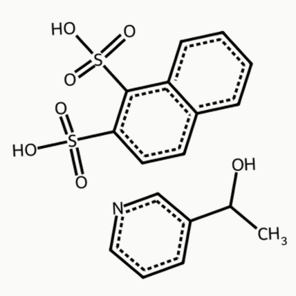 CC(O)c1cccnc1.O=S(=O)(O)c1ccc2ccccc2c1S(=O)(=O)O